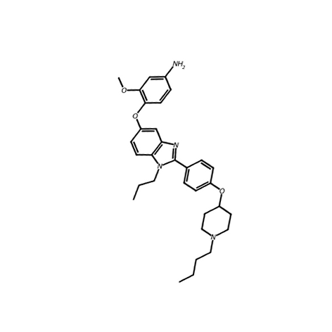 CCCCN1CCC(Oc2ccc(-c3nc4cc(Oc5ccc(N)cc5OC)ccc4n3CCC)cc2)CC1